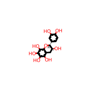 Oc1ccc([C@H]2Oc3c(O)c(O)c(O)c(O)c3C[C@@H]2O)cc1O